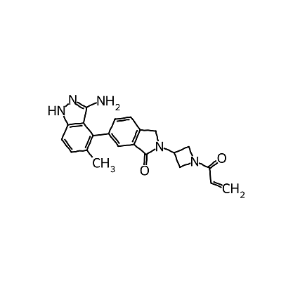 C=CC(=O)N1CC(N2Cc3ccc(-c4c(C)ccc5[nH]nc(N)c45)cc3C2=O)C1